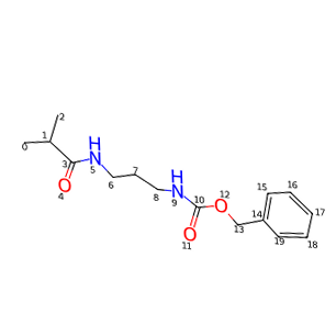 CC(C)C(=O)NCCCNC(=O)OCc1ccccc1